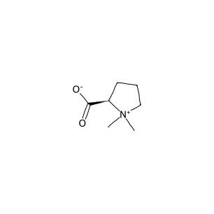 C[N+]1(C)CCC[C@@H]1C(=O)[O-]